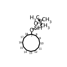 C[Si](C)(C)O[SiH]OC1CCCCCCCCCCC1